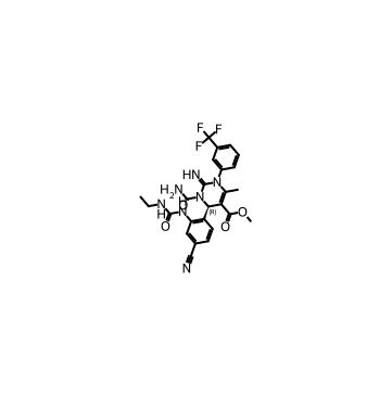 CCNC(=O)Nc1cc(C#N)ccc1[C@@H]1C(C(=O)OC)=C(C)N(c2cccc(C(F)(F)F)c2)C(=N)N1C(N)=O